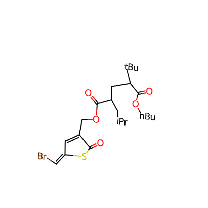 CCCCOC(=O)C(CC(CC(C)C)C(=O)OCC1=CC(=CBr)SC1=O)C(C)(C)C